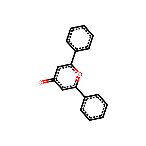 O=c1cc(-c2ccccc2)oc(-c2ccccc2)c1